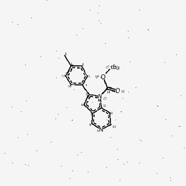 Cc1ccc(-c2cc3cnccc3n2C(=O)OC(C)(C)C)cc1